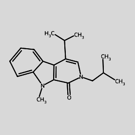 CC(C)Cn1cc(C(C)C)c2c3ccccc3n(C)c2c1=O